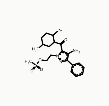 CC1CCC(C(C)C)C(C(=O)c2c(N)c(-c3ccccc3)nn2CCOS(C)(=O)=O)C1